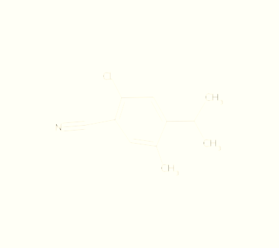 Cc1cc(C#N)c(Cl)cc1C(C)C